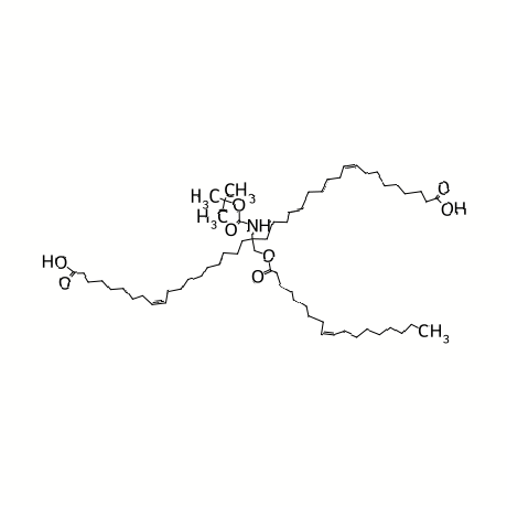 CCCCCCCC/C=C\CCCCCCCC(=O)OCC(CCCCCCCCC/C=C\CCCCCCCC(=O)O)(CCCCCCCCC/C=C\CCCCCCCC(=O)O)NC(=O)OC(C)(C)C